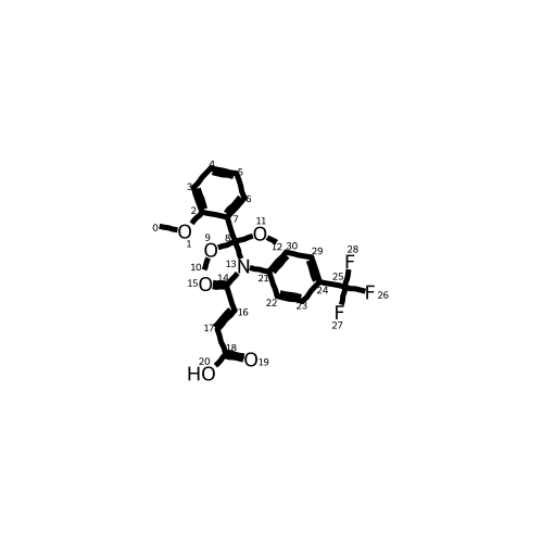 COc1ccccc1C(OC)(OC)N(C(=O)C=CC(=O)O)c1ccc(C(F)(F)F)cc1